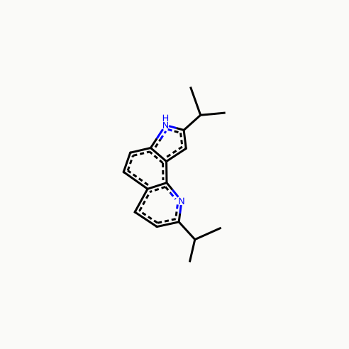 CC(C)c1ccc2ccc3[nH]c(C(C)C)cc3c2n1